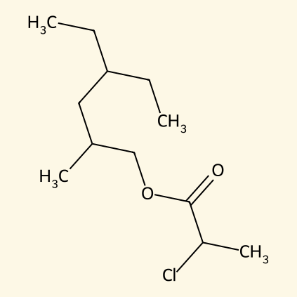 CCC(CC)CC(C)COC(=O)C(C)Cl